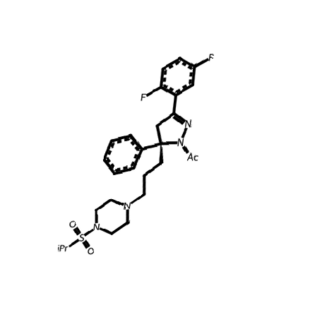 CC(=O)N1N=C(c2cc(F)ccc2F)C[C@@]1(CCCN1CCN(S(=O)(=O)C(C)C)CC1)c1ccccc1